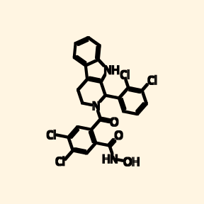 O=C(NO)c1cc(Cl)c(Cl)cc1C(=O)N1CCc2c([nH]c3ccccc23)C1c1cccc(Cl)c1Cl